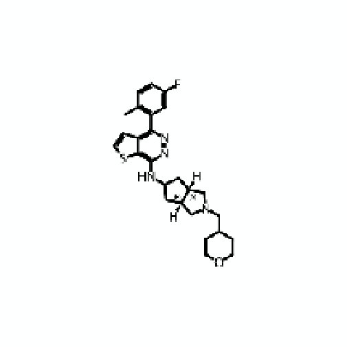 Cc1ccc(F)cc1-c1nnc(NC2C[C@@H]3CN(CC4CCOCC4)C[C@@H]3C2)c2sccc12